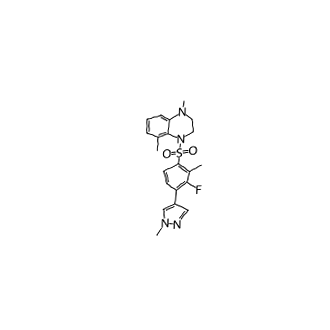 Cc1cccc2c1N(S(=O)(=O)c1ccc(-c3cnn(C)c3)c(F)c1C)CCN2C